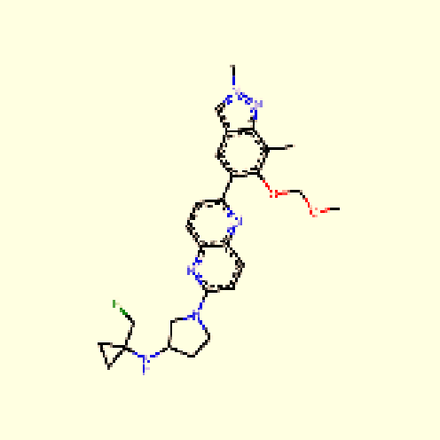 COCOc1c(-c2ccc3nc(N4CCC(NC5(CF)CC5)C4)ccc3n2)cc2cn(C)nc2c1C